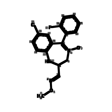 CON=CC1C[N+]([O-])=C(c2ccccc2F)c2cc(Cl)ccc2N1